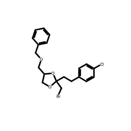 Clc1ccc(CCC2(CBr)OCC(COCc3ccccc3)O2)cc1